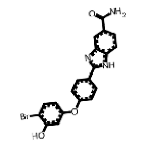 NC(=O)c1ccc2[nH]c(-c3ccc(Oc4ccc(Br)c(O)c4)cc3)nc2c1